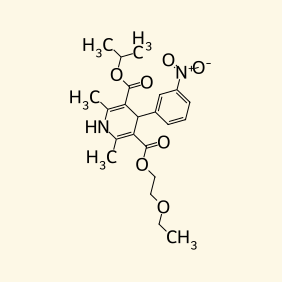 CCOCCOC(=O)C1=C(C)NC(C)=C(C(=O)OC(C)C)C1c1cccc([N+](=O)[O-])c1